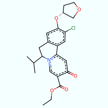 CCOC(=O)c1cn2c(cc1=O)-c1cc(Cl)c(O[C@@H]3CCOC3)cc1CC2C(C)C